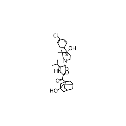 CC(C)[C@@H](NC(=O)C(=O)C12CC3CC(CC(O)(C3)C1)C2)C(=O)N1CC[C@](O)(c2ccc(Cl)cc2)C(C)(C)C1